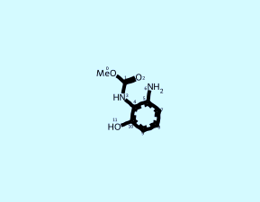 COC(=O)Nc1c(N)cccc1O